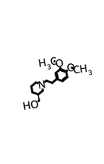 COc1ccc(CCN2CCC[C@H](CO)C2)cc1OC